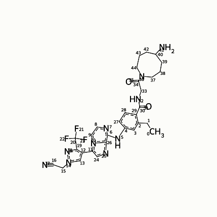 CCc1cc(Nc2nccn3c(-c4cn(CC#N)nc4C(F)(F)F)cnc23)ccc1C(=O)NCC(=O)N1CCCC(N)CCC1